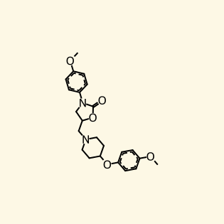 COc1ccc(OC2CCN(CC3CN(c4ccc(OC)cc4)C(=O)O3)CC2)cc1